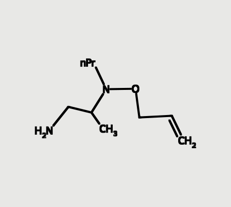 C=CCON(CCC)C(C)CN